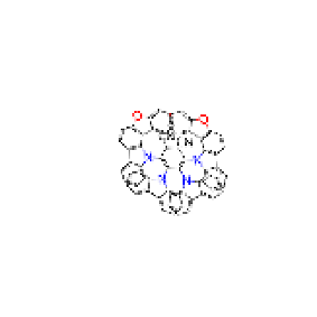 N#Cc1c(C#N)c(-n2c3ccccc3c3ccc4oc5ccccc5c4c32)c(-n2c3ccccc3c3ccccc32)c(-n2c3ccccc3c3ccccc32)c1-n1c2ccccc2c2ccc3oc4ccccc4c3c21